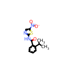 CC(C)c1ccccc1C(=O)Nc1ncc([N+](=O)[O-])s1